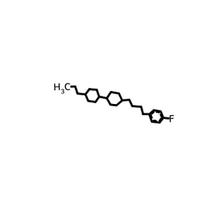 CCCC1CCC(C2CCC(CCCCc3ccc(F)cc3)CC2)CC1